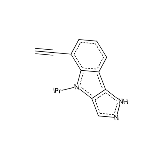 C#Cc1cccc2c3[nH]ncc3n(C(C)C)c12